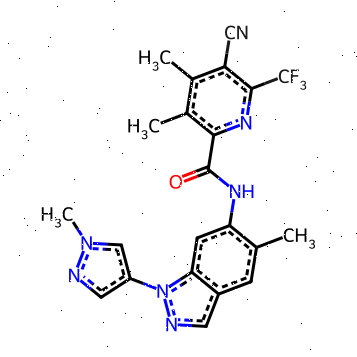 Cc1cc2cnn(-c3cnn(C)c3)c2cc1NC(=O)c1nc(C(F)(F)F)c(C#N)c(C)c1C